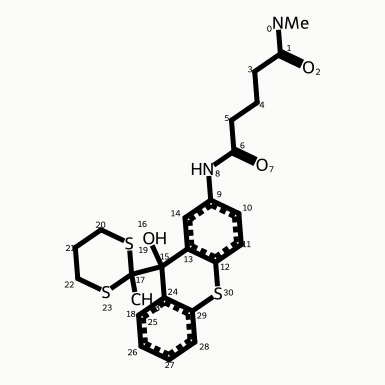 CNC(=O)CCCC(=O)Nc1ccc2c(c1)C(O)(C1(C)SCCCS1)c1ccccc1S2